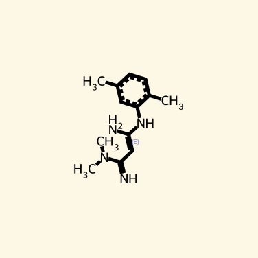 Cc1ccc(C)c(N/C(N)=C/C(=N)N(C)C)c1